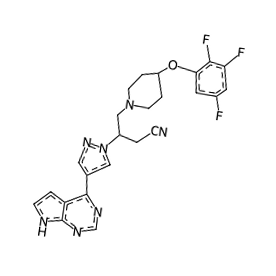 N#CCC(CN1CCC(Oc2cc(F)cc(F)c2F)CC1)n1cc(-c2ncnc3[nH]ccc23)cn1